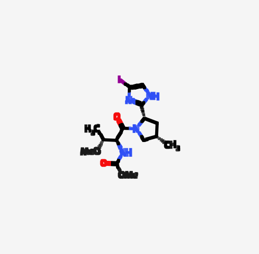 COC(=O)N[C@H](C(=O)N1C[C@@H](C)C[C@H]1c1nc(I)c[nH]1)[C@@H](C)OC